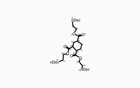 CCCCCCCCCCCCOC(=O)C1CCC(C(=O)OCCCCCCCCCCCC)C(C(=O)OCCCCCCCCCCCC)C1